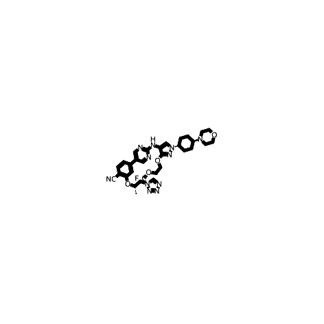 C[C@@H](Cn1cnnn1)Oc1cc(-c2cnc(Nc3cn([C@H]4CC[C@H](N5CCOCC5)CC4)nc3OCCOC(F)(F)F)nc2)ccc1C#N